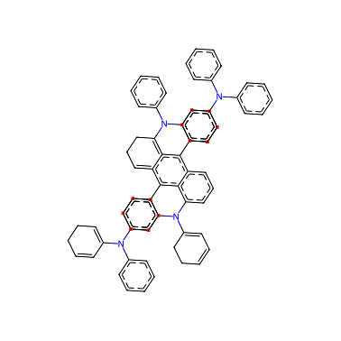 C1=CCCC(N(c2ccccc2)c2cccc3c(-c4ccc(N(c5ccccc5)c5ccccc5)cc4)c4c(c(-c5ccc(N(C6=CCCC=C6)c6ccccc6)cc5)c23)=CCCC=4N(c2ccccc2)c2ccccc2)=C1